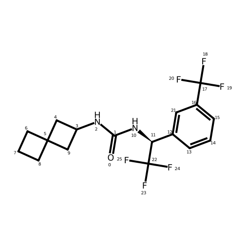 O=C(NC1CC2(CCC2)C1)N[C@@H](c1cccc(C(F)(F)F)c1)C(F)(F)F